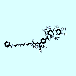 CC(CC(c1ccc(C2OC[C@H]3O[C@H](O[C@H]4O[C@H](CO)[C@@H](O)[C@H](O)[C@H]4O)[C@H](O)[C@@H](O)[C@@H]3O2)cc1)C(C)(C)C#N)C(=O)OCCOCCOCCSSc1ccccn1